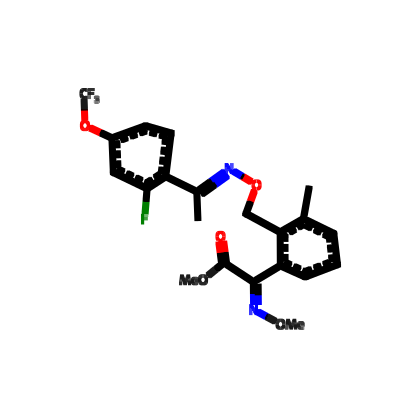 CO/N=C(/C(=O)OC)c1cccc(C)c1CO/N=C(\C)c1ccc(OC(F)(F)F)cc1F